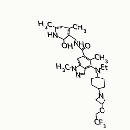 CCN(c1c(C)c(C(=O)NCC2=C(C)C=C(C)NC2O)cc2c1cnn2C)C1CCC(N2CC(OCC(F)(F)F)C2)CC1